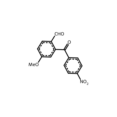 COc1ccc(C=O)c(C(=O)c2ccc([N+](=O)[O-])cc2)c1